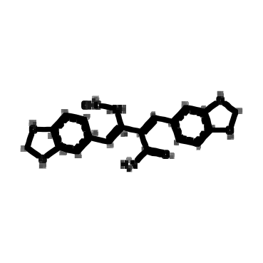 NC(=O)C(=C\c1ccc2c(c1)OCO2)/C(=C/c1ccc2c(c1)OCO2)NC=O